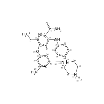 CCc1nc(C(N)=O)c(Nc2ccc(N3CCN(C)CC3)cc2)nc1Oc1cc(N)cc(C#N)c1